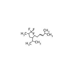 CC(C)/C=C/CCC(CC(C)C(F)(F)F)C(C)C